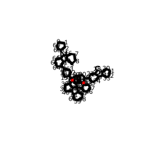 c1ccc(-n2c3ccccc3c3c(-c4ccc(N(c5ccc(-c6ccc7c(c6)sc6ccccc67)cc5)c5cccc6c5C5(c7ccccc7-c7ccccc75)c5ccccc5-6)cc4)cccc32)cc1